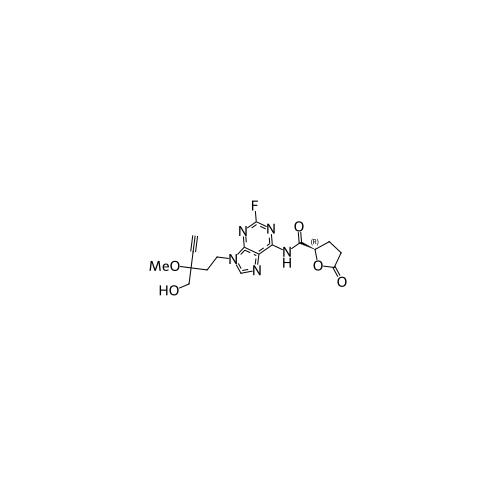 C#CC(CO)(CCn1cnc2c(NC(=O)[C@H]3CCC(=O)O3)nc(F)nc21)OC